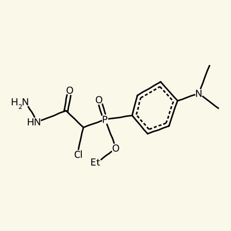 CCOP(=O)(c1ccc(N(C)C)cc1)C(Cl)C(=O)NN